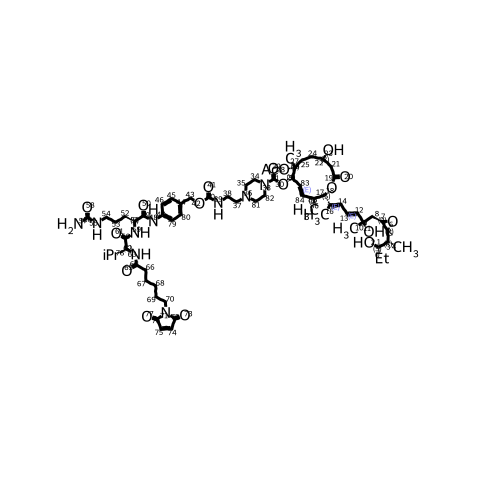 CC[C@H](O)[C@@H](C)[C@H]1O[C@@H]1CC(C)(O)/C=C/C=C(\C)[C@H]1OC(=O)C[C@H](O)CC[C@@](C)(OC(C)=O)[C@@H](OC(=O)N2CCN(CCNC(=O)OCc3ccc(NC(=O)[C@H](CCCNC(N)=O)NC(=O)[C@@H](NC(=O)CCCCCN4C(=O)C=CC4=O)C(C)C)cc3)CC2)/C=C/[C@@H]1C